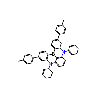 Cc1ccc(C2=CC=C3B4c5ccc(-c6ccc(C)cc6)cc5N(C5C=CCCC5)c5cccc(c54)N(C4=CCCC=C4)C3C2)cc1